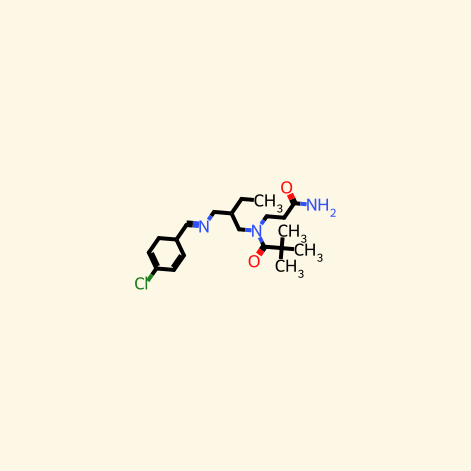 CCC(C/N=C/C1C=CC(Cl)=CC1)CN(CCC(N)=O)C(=O)C(C)(C)C